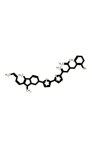 C=C(CC(CC1=C(C(C)C)CCC=C1)C(=C)C)c1ccc(-c2ccc(C3C=CC4C(C)=C(/C=C\C=C/C)C(C)C4C3)s2)s1